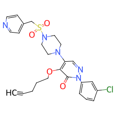 C#CCCCOc1c(N2CCN(S(=O)(=O)Cc3ccncc3)CC2)cnn(-c2cccc(Cl)c2)c1=O